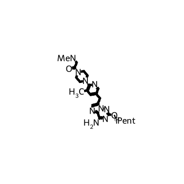 CCC[C@H](C)Oc1nc(N)c2ncc(Cc3cnc(N4CCN(C(=O)CNC)CC4)c(C)c3)n2n1